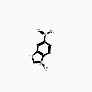 O=[N+]([O-])c1ccc2c(c1)oc[n+]2[O-]